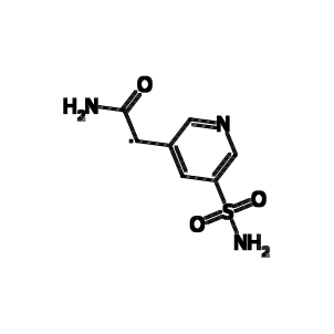 NC(=O)[CH]c1cncc(S(N)(=O)=O)c1